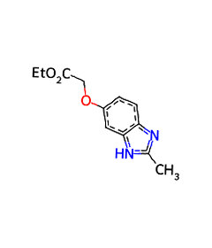 CCOC(=O)COc1ccc2nc(C)[nH]c2c1